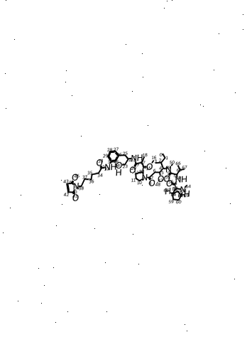 CCC(C)C(C(CC(=O)N1CCC[C@H]1C(OC)C(C)C(=O)NC(CO)Cc1cccc(NC(=O)CCCCCN2C(=O)C=CC2=O)c1)OC)N(C)C(=O)C(NC(=O)[C@@H]1[C@H]2CC[C@H](C2)N1C)C(C)C